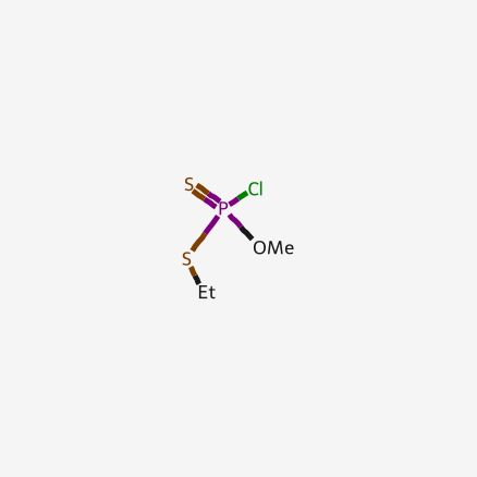 CCSP(=S)(Cl)OC